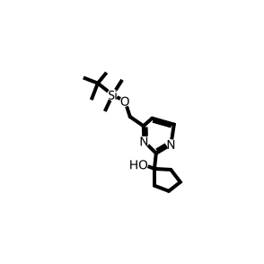 CC(C)(C)[Si](C)(C)OCc1ccnc(C2(O)CCCC2)n1